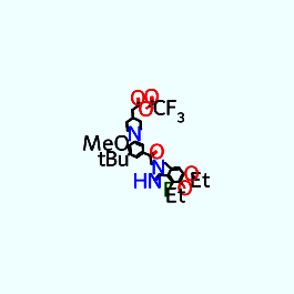 CCOc1cc2c(c(F)c1OCC)C(=N)N(CC(=O)c1cc(N3CCC(CC(=O)OC(=O)C(F)(F)F)CC3)c(OC)c(C(C)(C)C)c1)C2